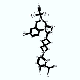 CC(C)(C#N)N1Cc2cc(Cl)ccc2-n2c(nnc2C2CC3(C2)CN(c2ccc(F)c(C(F)F)n2)C3)C1